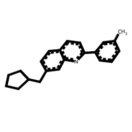 Cc1cccc(-c2ccc3ccc(CC4CCCC4)cc3n2)c1